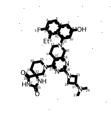 CCc1c(F)ccc2cc(O)cc(N3CCc4c(nc(N5CC(N(C)C)C5)nc4N4CCCC5(C4)NC(=O)NC5=O)C3)c12